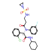 O=C(NC1CCCCC1)[C@H](c1ccccc1Cl)N(C(=O)CCNS(=O)(=O)N1CC1)c1cccc(F)c1